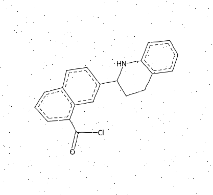 O=C(Cl)c1cccc2ccc(C3CCc4ccccc4N3)cc12